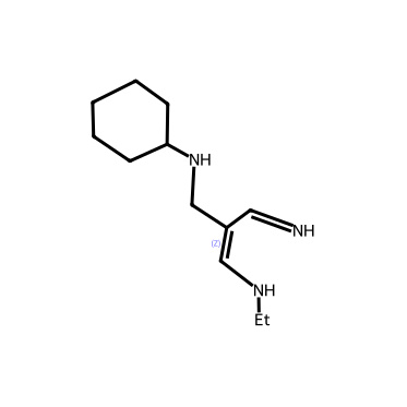 CCN/C=C(\C=N)CNC1CCCCC1